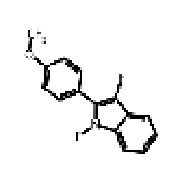 Fc1c(-c2ccc(OC(F)(F)F)cc2)n(F)c2ccccc12